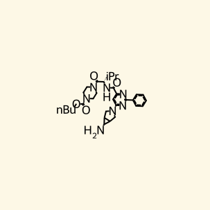 CCCCOC(=O)N1CCN(C(=O)[C@@H](NC(=O)c2cc(N3CC4C(N)C4C3)nc(-c3ccccc3)n2)C(C)C)CC1